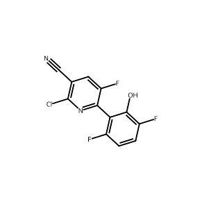 N#Cc1cc(F)c(-c2c(F)ccc(F)c2O)nc1Cl